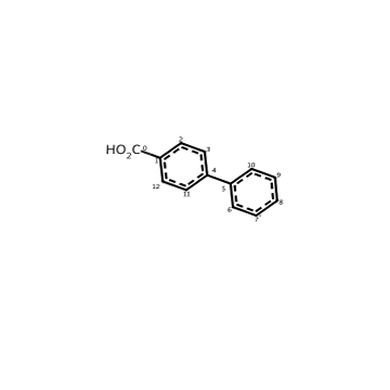 O=C(O)c1ccc(-c2c[c]ccc2)cc1